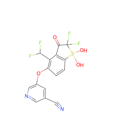 N#Cc1cncc(Oc2ccc3c(c2C(F)F)C(=O)C(F)(F)S3(O)O)c1